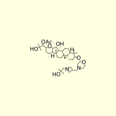 CC(=O)O[C@@H](C1C[C@@H](C)[C@H]2C(O1)[C@H](O)[C@@]1(C)C3CC[C@H]4C(C)(C)[C@@H](O[C@H]5CN(CC6CN(CC(C)(C)O)C6)CCO5)CC[C@@]45C[C@@]35CC[C@]21C)C(C)(C)O